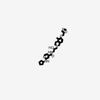 Cc1c(OCc2cnco2)ccc2c1CCN(C[C@@H](O)CNC(=O)c1ccnc(NC3CCCC3)c1)C2